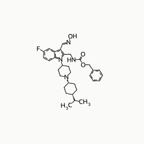 CC(C)[C@H]1CC[C@@H](N2CCC(n3c(CNC(=O)OCc4ccccc4)c(C=NO)c4cc(F)ccc43)CC2)CC1